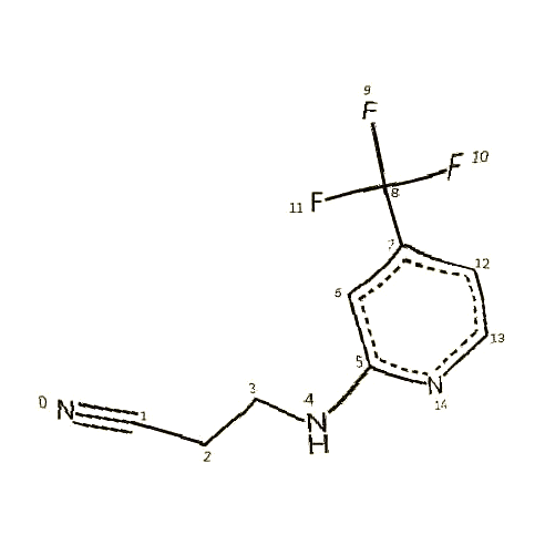 N#CCCNc1cc(C(F)(F)F)ccn1